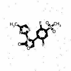 Cc1csc(-n2c(-c3cc(F)c(S(C)(=O)=O)cc3F)coc2=O)n1